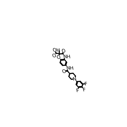 CC1(C(=O)O)Oc2ccc(NC(=O)C3CCN(c4cc(F)c(F)c(F)c4)CC3)cc2NC1=O